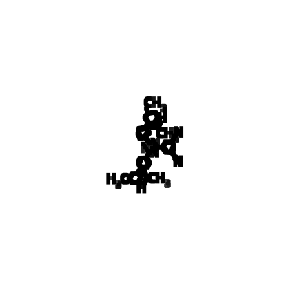 CC[C@H]1C[C@H]2C[C@@H](C)CC(c3cccc(-c4nc(-c5ccc(C67C[C@H](C)C[C@H](C[C@H](C)C6)C7)cc5)nc(-c5cc(C#N)cc(C#N)c5)n4)c3)(C2)C1